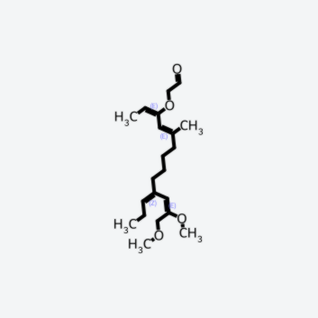 C/C=C(\C=C(/C)CCCCC(=C/CC)/C=C(\COC)OC)OCC=O